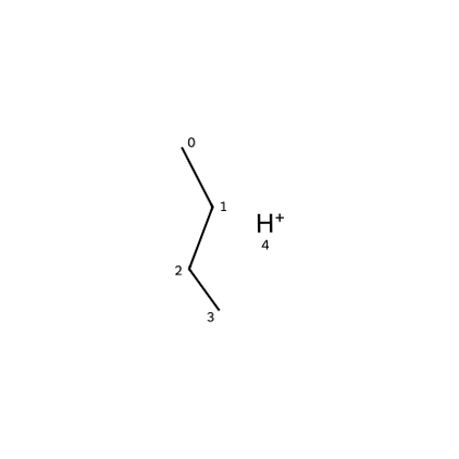 CCCC.[H+]